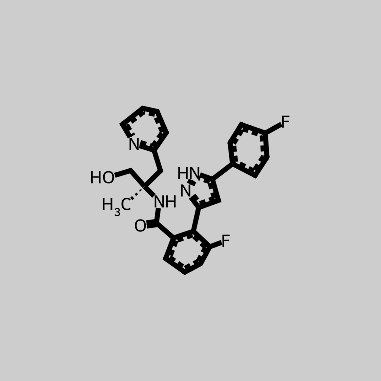 C[C@](CO)(Cc1ccccn1)NC(=O)c1cccc(F)c1-c1cc(-c2ccc(F)cc2)[nH]n1